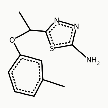 Cc1cccc(OC(C)c2nnc(N)s2)c1